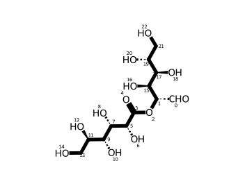 O=C[C@H](OC(=O)[C@H](O)[C@@H](O)[C@H](O)[C@H](O)CO)[C@@H](O)[C@H](O)[C@H](O)CO